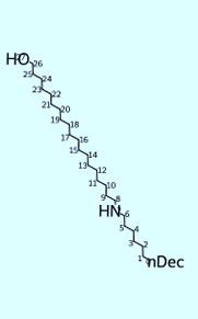 CCCCCCCCCCCCCCCCNCCCCCCCCCCCCCCCCCCCO